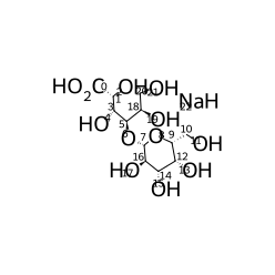 O=C(O)[C@H](O)[C@@H](O)[C@H](O[C@@H]1O[C@H](CO)[C@H](O)[C@H](O)[C@H]1O)[C@H](O)CO.[NaH]